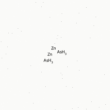 [AsH3].[AsH3].[Zn].[Zn]